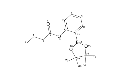 CCCC(=O)Oc1ccccc1B1OC(C)(C)C(C)(C)O1